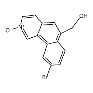 [O-][n+]1ccc2cc(CO)c3ccc(Br)cc3c2c1